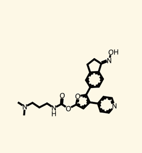 CN(C)CCCNC(=O)Oc1cc(-c2ccncc2)c(-c2ccc3c(c2)CCC3=NO)o1